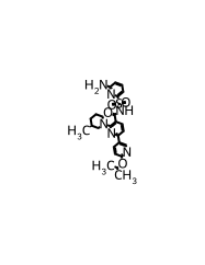 CC(C)Oc1ccc(-c2ccc(C(=O)NS(=O)(=O)c3cccc(N)n3)c(N3CCC[C@H](C)C3)n2)cn1